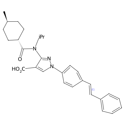 CC(C)N(c1nn(-c2ccc(/C=C/c3ccccc3)cc2)cc1C(=O)O)C(=O)[C@H]1CC[C@H](C)CC1